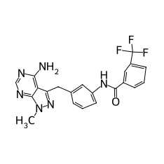 Cn1nc(Cc2cccc(NC(=O)c3cccc(C(F)(F)F)c3)c2)c2c(N)ncnc21